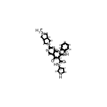 CN1CC2CN(c3ncc4c(=O)c(C(=O)NC5CCNC5)c5[nH]c6ccccc6n5c4n3)CC2C1